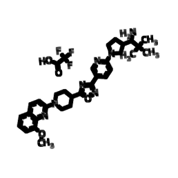 COc1cccc2ccc(N3CCC(c4nc(-c5ccc(N6CCC(C(N)C(C)(C)C)C6)nc5)no4)CC3)nc12.O=C(O)C(F)(F)F